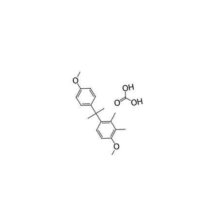 COc1ccc(C(C)(C)c2ccc(OC)c(C)c2C)cc1.O=C(O)O